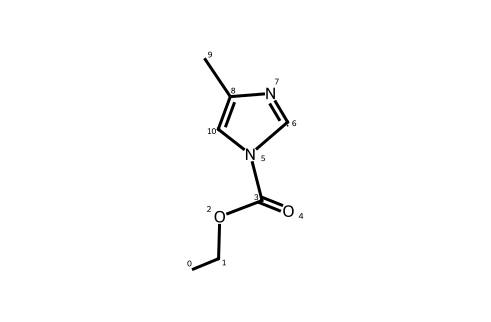 CCOC(=O)n1[c]nc(C)c1